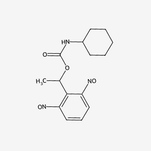 CC(OC(=O)NC1CCCCC1)c1c(N=O)cccc1N=O